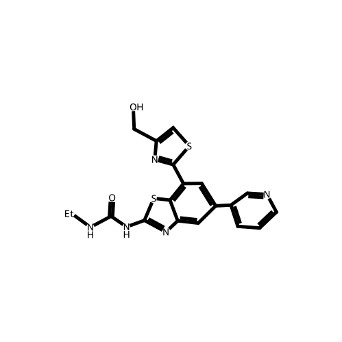 CCNC(=O)Nc1nc2cc(-c3cccnc3)cc(-c3nc(CO)cs3)c2s1